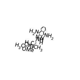 COC(C)(C)CCOC(C)(C)CCN/N=C1\C(=N)C(N)=c2ccccc2=C1N